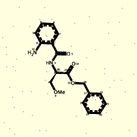 COC[C@@H](NC(=O)c1ccccc1N)C(=O)OCc1ccccc1